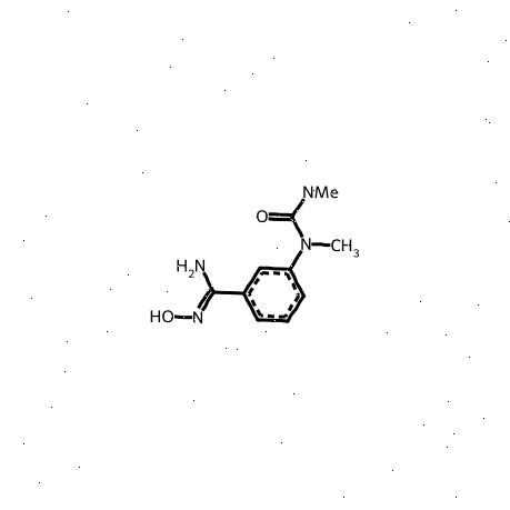 CNC(=O)N(C)c1cccc(C(N)=NO)c1